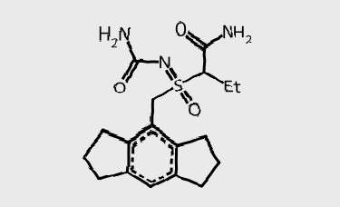 CCC(C(N)=O)S(=O)(Cc1c2c(cc3c1CCC3)CCC2)=NC(N)=O